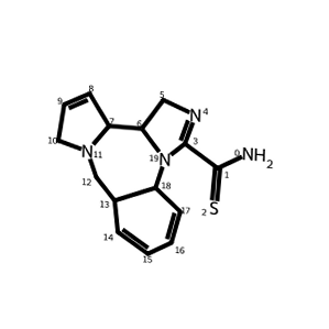 NC(=S)C1=NCC2C3C=CCN3CC3C=CC=CC3N12